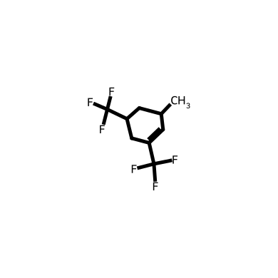 CC1C=C(C(F)(F)F)CC(C(F)(F)F)C1